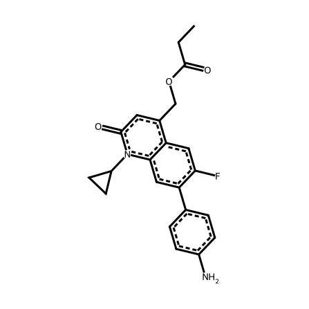 CCC(=O)OCc1cc(=O)n(C2CC2)c2cc(-c3ccc(N)cc3)c(F)cc12